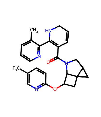 Cc1cccnc1C1=C(C(=O)N2CC3CC34CC(Oc3ccc(C(F)(F)F)cn3)C24)C=CCN1